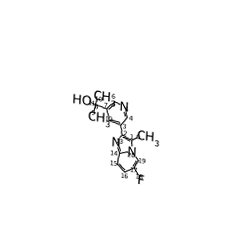 Cc1c(-c2cncc(C(C)(C)O)c2)nc2ccc(F)cn12